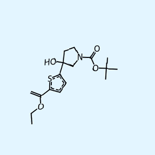 C=C(OCC)c1ccc(C2(O)CCN(C(=O)OC(C)(C)C)C2)s1